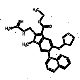 CCOC(=O)c1c(CNC(=N)N)n(C)c2cc(-c3cccc4ccccc34)c(OC3CCCC3)cc12